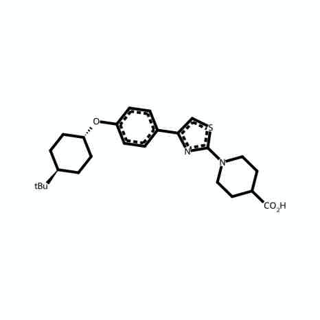 CC(C)(C)[C@H]1CC[C@H](Oc2ccc(-c3csc(N4CCC(C(=O)O)CC4)n3)cc2)CC1